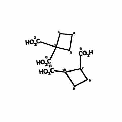 O=C(O)C1(C(=O)O)CCC1.O=C(O)C1CCC1C(=O)O